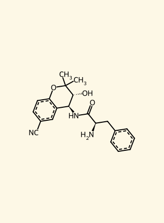 CC1(C)Oc2ccc(C#N)cc2[C@H](NC(=O)[C@H](N)Cc2ccccc2)[C@H]1O